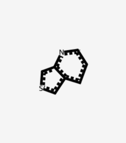 [c]1ccc2cscc2n1